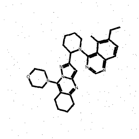 CCc1ccc2ncnc(N3CCCCC3c3cc4nc5c(c(N6CCOCC6)n4n3)CCCC5)c2c1C